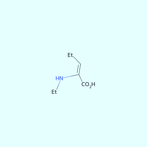 CC/C=C(\NCC)C(=O)O